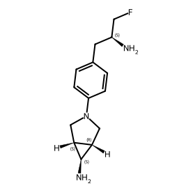 N[C@H](CF)Cc1ccc(N2C[C@@H]3[C@@H](N)[C@@H]3C2)cc1